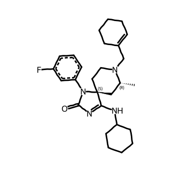 C[C@@H]1C[C@@]2(CCN1CC1=CCCCC1)C(NC1CCCCC1)=NC(=O)N2c1cccc(F)c1